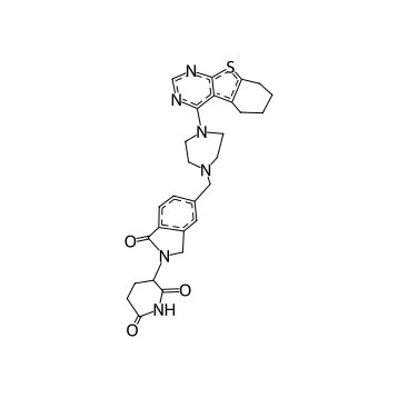 O=C1CCC(N2Cc3cc(CN4CCN(c5ncnc6sc7c(c56)CCCC7)CC4)ccc3C2=O)C(=O)N1